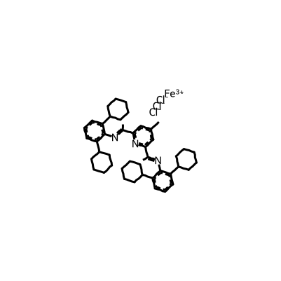 CC(=Nc1c(C2CCCCC2)cccc1C1CCCCC1)c1cc(C)cc(C(C)=Nc2c(C3CCCCC3)cccc2C2CCCCC2)n1.[Cl-].[Cl-].[Cl-].[Fe+3]